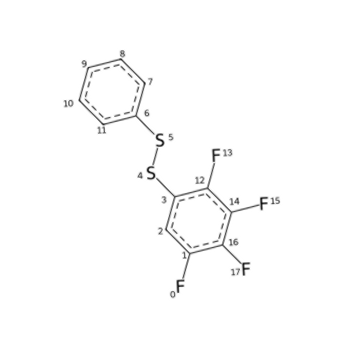 Fc1cc(SSc2ccccc2)c(F)c(F)c1F